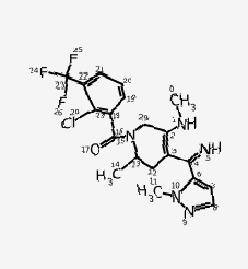 CNC1=C(C(=N)c2ccnn2C)CC(C)N(C(=O)c2cccc(C(F)(F)F)c2Cl)C1